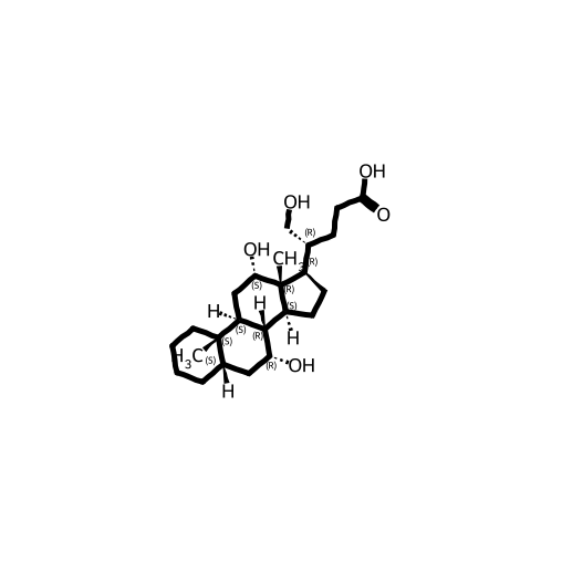 C[C@]12CCCC[C@H]1C[C@@H](O)[C@@H]1[C@@H]2C[C@H](O)[C@]2(C)[C@@H]([C@H](CO)CCC(=O)O)CC[C@@H]12